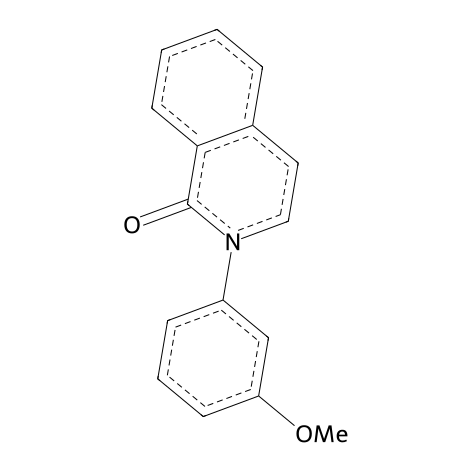 COc1cccc(-n2ccc3ccccc3c2=O)c1